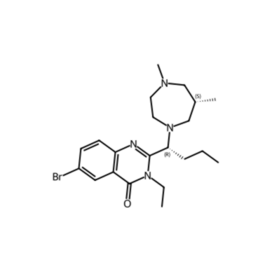 CCC[C@H](c1nc2ccc(Br)cc2c(=O)n1CC)N1CCN(C)C[C@H](C)C1